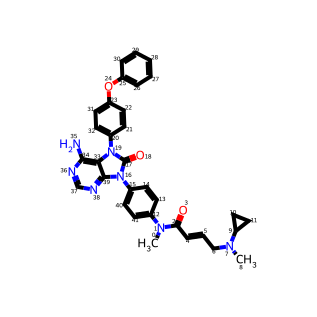 CN(C(=O)/C=C/CN(C)C1CC1)c1ccc(-n2c(=O)n(-c3ccc(Oc4ccccc4)cc3)c3c(N)ncnc32)cc1